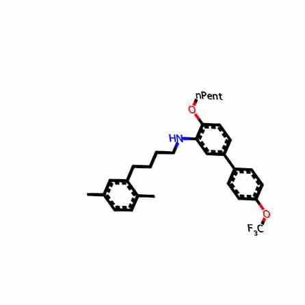 CCCCCOc1ccc(-c2ccc(OC(F)(F)F)cc2)cc1NCCCCc1cc(C)ccc1C